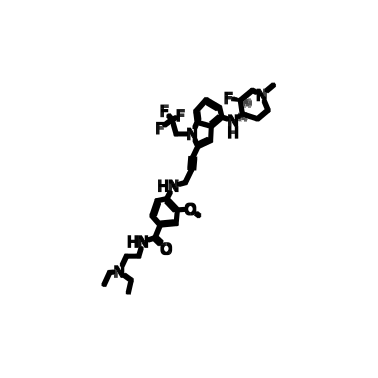 CCN(CC)CCNC(=O)c1ccc(NCC#Cc2cc3c(N[C@@H]4CCN(C)C[C@@H]4F)cccc3n2CC(F)(F)F)c(OC)c1